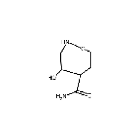 NC(=O)C1CCCNCC1O